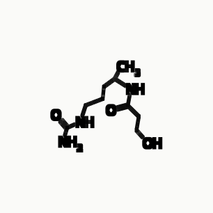 CC(CCCNC(N)=O)NC(=O)CCO